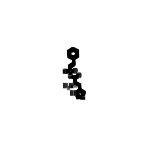 N[C@@H](Cc1cnc[nH]1)C(=O)OS(=O)(=O)C=Cc1ccccc1